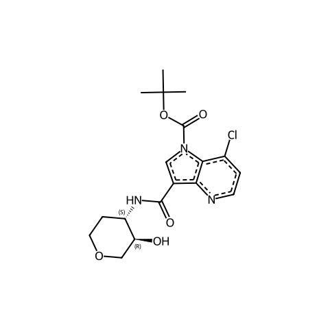 CC(C)(C)OC(=O)n1cc(C(=O)N[C@H]2CCOC[C@@H]2O)c2nccc(Cl)c21